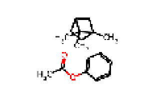 CC(=O)Oc1ccccc1.CC12CCC(C1)C2(C)C